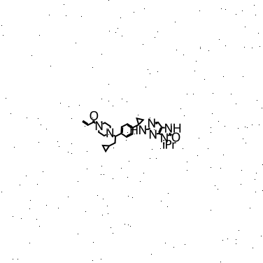 C=CC(=O)N1CCN(C(CC2CC2)c2ccc(C3(Nc4ncc5[nH]c(=O)n(C(C)C)c5n4)CC3)cc2)CC1